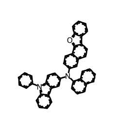 c1ccc(-n2c3ccccc3c3cc(N(c4ccc5c(ccc6c7ccccc7oc56)c4)c4cccc5ccccc45)ccc32)cc1